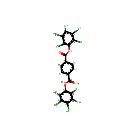 O=C(Oc1c(F)c(F)c(F)c(F)c1F)c1ccc(C(=O)Oc2c(F)c(F)c(F)c(F)c2F)cc1